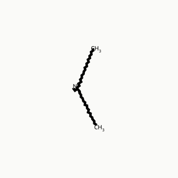 CCCCCCCCCCCCCCCCCCC=CC1=C(C=CCCCCCCCCCCCCCCCCCC)[N]C=C1